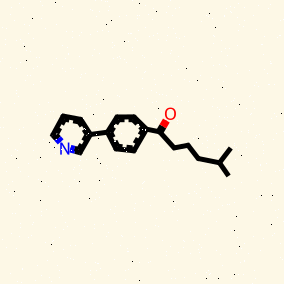 CC(C)CCCC(=O)c1ccc(-c2cccnc2)cc1